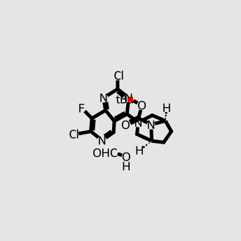 CC(C)(C)OC(=O)N1[C@@H]2CC[C@H]1CN(c1nc(Cl)nc3c(F)c(Cl)ncc13)C2.O=CO